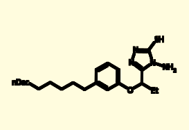 CCCCCCCCCCCCCCCc1cccc(OC(CC)c2nnc(S)n2N)c1